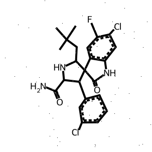 CC(C)(C)CC1NC(C(N)=O)C(c2cccc(Cl)c2)C12C(=O)Nc1cc(Cl)c(F)cc12